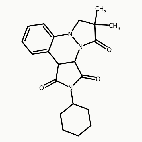 CC1(C)CN2c3ccccc3C3C(=O)N(C4CCCCC4)C(=O)C3N2C1=O